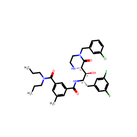 CCCN(CCC)C(=O)c1cc(C)cc(C(=O)N[C@@H](Cc2cc(F)cc(F)c2)[C@H](O)[C@@H]2NCCN(Cc3cccc(Cl)c3)C2=O)c1